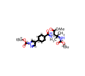 COC(=O)[C@@H](NC(=O)c1ccc(-c2cnn(C(=O)OC(C)(C)C)c2)cc1)C(C)(C)NC(=O)OC(C)(C)C